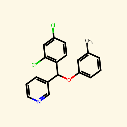 FC(F)(F)c1cccc(OC(c2cccnc2)c2ccc(Cl)cc2Cl)c1